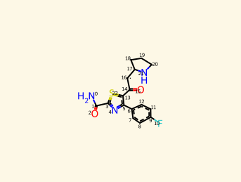 NC(=O)c1nc(-c2ccc(F)cc2)c(C(=O)[CH]C2CCCN2)s1